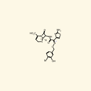 Nc1nc(/C(=N/OCc2ccc(Br)c(O)c2)C(=O)NC2C(=O)N3C(C(=O)O)=CCS[C@H]23)cs1